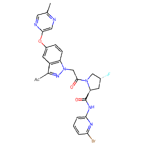 CC(=O)c1nn(CC(=O)N2C[C@H](F)C[C@H]2C(=O)Nc2cccc(Br)n2)c2ccc(Oc3cnc(C)cn3)cc12